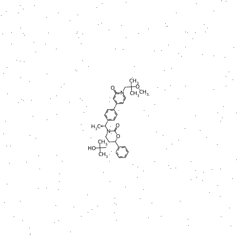 COC(C)(C)Cn1ccc(-c2ccc([C@H](C)N3C[C@@H](CC(C)(C)O)C(c4ccccc4)OC3=O)cc2)cc1=O